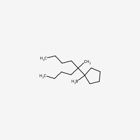 BC1(C(C)(CCCC)CCCC)CCCC1